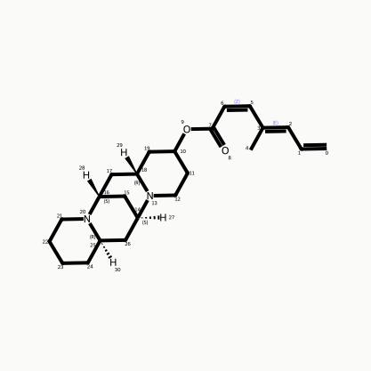 C=C/C=C(C)/C=C\C(=O)OC1CCN2[C@@H]3C[C@@H](C[C@@H]2C1)N1CCCC[C@@H]1C3